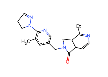 CCC1=NC=CC2C(=O)N(Cc3cnc(N4CCC=N4)c(C)c3)CC12